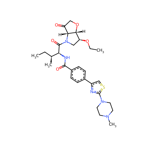 CCO[C@H]1CN(C(=O)[C@@H](NC(=O)c2ccc(-c3csc(N4CCN(C)CC4)n3)cc2)[C@@H](C)CC)[C@@H]2C(=O)CO[C@H]12